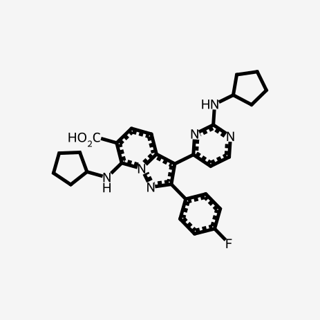 O=C(O)c1ccc2c(-c3ccnc(NC4CCCC4)n3)c(-c3ccc(F)cc3)nn2c1NC1CCCC1